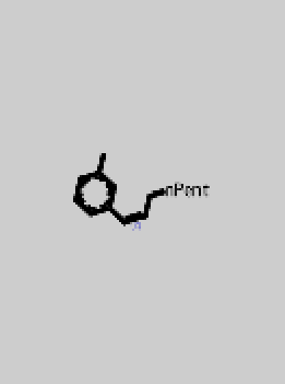 CCCCCC/C=[C]\c1cccc(C)c1